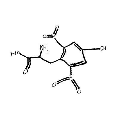 NC(Cc1c(P(=O)=O)cc(O)cc1P(=O)=O)C(=O)O